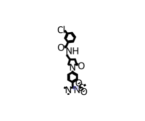 CN(C)/C(=N/S(C)(=O)=O)c1ccc(N2CC(CNC(=O)c3cccc(Cl)c3)CC2=O)cc1